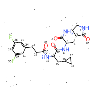 NC(=O)C(C[C@@H]1CCNC1=O)NC(=O)C(CC1CC1)NC(=O)CCc1cc(F)cc(F)c1